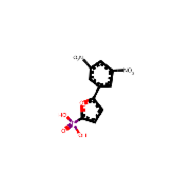 O=[N+]([O-])c1cc(-c2ccc(P(=O)(O)O)o2)cc([N+](=O)[O-])c1